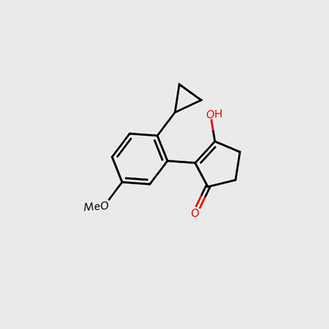 COc1ccc(C2CC2)c(C2=C(O)CCC2=O)c1